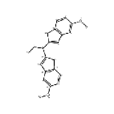 CCC(C1=Cc2cc(OC)ccc2C1)C1=Cc2cc(OC)ccc2C1